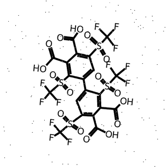 O=C(O)c1c(S(=O)(=O)C(F)(F)F)cc(-c2cc(S(=O)(=O)C(F)(F)F)c(C(=O)O)c(C(=O)O)c2S(=O)(=O)C(F)(F)F)c(S(=O)(=O)C(F)(F)F)c1C(=O)O